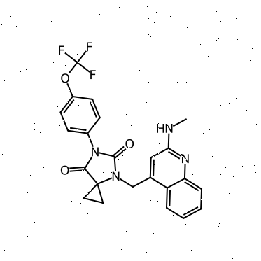 CNc1cc(CN2C(=O)N(c3ccc(OC(F)(F)F)cc3)C(=O)C23CC3)c2ccccc2n1